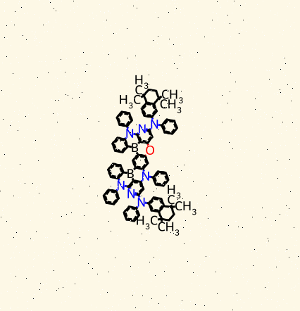 CC1(C)CCC(C)(C)c2cc(N(c3ccccc3)c3cc4c5c(n3)N(c3ccccc3)c3ccccc3B5c3cc5c(cc3O4)N(c3ccccc3)c3cc(N(c4ccccc4)c4ccc6c(c4)C(C)(C)CCC6(C)C)nc4c3B5c3ccccc3N4c3ccccc3)ccc21